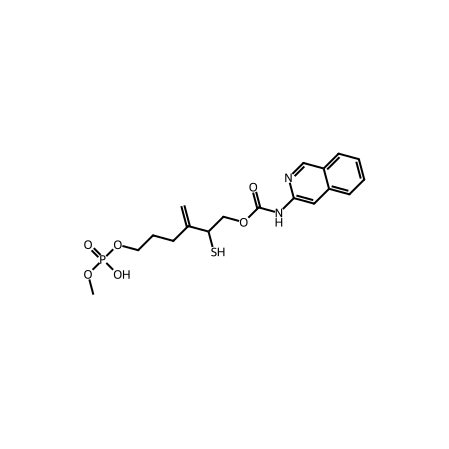 C=C(CCCOP(=O)(O)OC)C(S)COC(=O)Nc1cc2ccccc2cn1